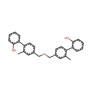 Cc1cc(CSCc2ccc(-c3ccccc3O)c(C)c2)ccc1-c1ccccc1O